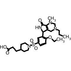 CCCN1CC2=C(C(=O)NC2c2cc(S(=O)(=O)N3CCC(CCC(=O)O)CC3)ccc2OCC)N(C)C1